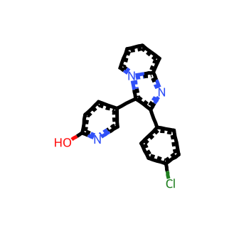 Oc1ccc(-c2c(-c3ccc(Cl)cc3)nc3ccccn23)cn1